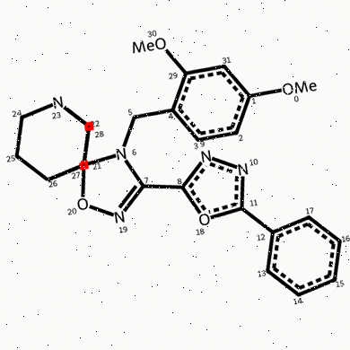 COc1ccc(CN2C(c3nnc(-c4ccccc4)o3)=NOC23CN2CCC3CC2)c(OC)c1